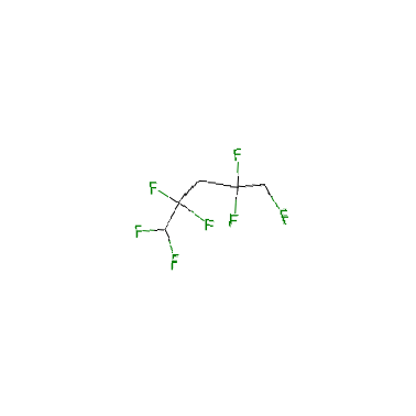 FCC(F)(F)CC(F)(F)C(F)F